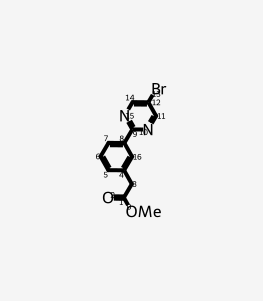 COC(=O)Cc1cccc(-c2ncc(Br)cn2)c1